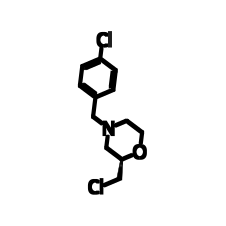 ClC[C@H]1CN(Cc2ccc(Cl)cc2)CCO1